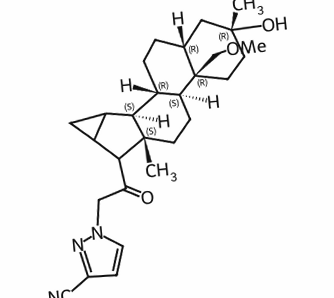 COC[C@]12CC[C@@](C)(O)C[C@H]1CC[C@@H]1[C@@H]2CC[C@]2(C)C(C(=O)Cn3ccc(C#N)n3)C3CC3[C@@H]12